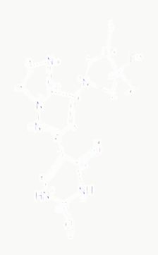 C[C@H]1CN(c2cc(-c3c[nH]c(=O)[nH]c3=O)nn3ccnc23)CC1(F)F